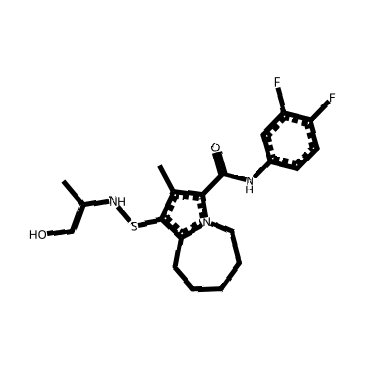 Cc1c(SNC(C)CO)c2n(c1C(=O)Nc1ccc(F)c(F)c1)CCCCC2